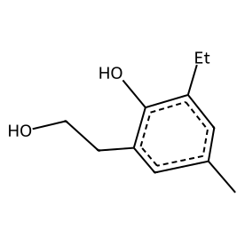 CCc1cc(C)cc(CCO)c1O